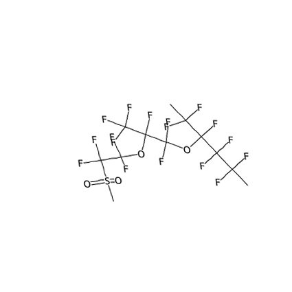 CC(F)(F)C(F)(F)C(F)(OC(F)(F)C(F)(OC(F)(F)C(F)(F)S(C)(=O)=O)C(F)(F)F)C(C)(F)F